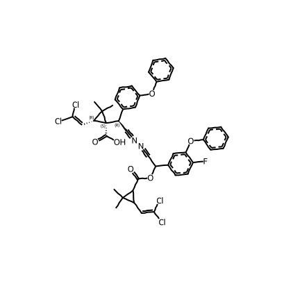 CC1(C)C(C=C(Cl)Cl)C1C(=O)OC(C#N)c1ccc(F)c(Oc2ccccc2)c1.CC1(C)[C@@H](C=C(Cl)Cl)[C@]1(C(=O)O)[C@H](C#N)c1cccc(Oc2ccccc2)c1